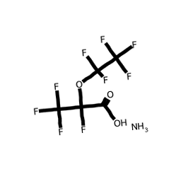 N.O=C(O)C(F)(OC(F)(F)C(F)(F)F)C(F)(F)F